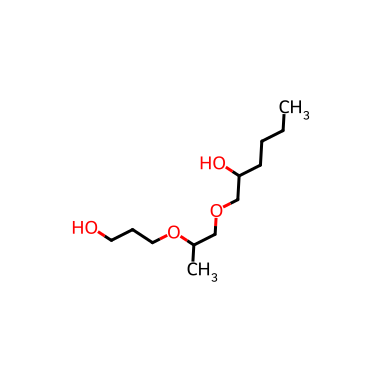 CCCCC(O)COCC(C)OCCCO